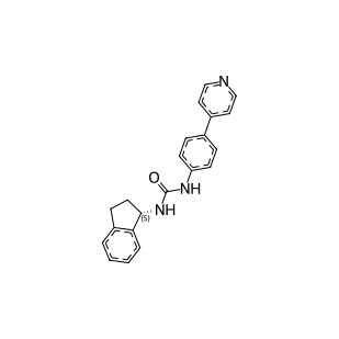 O=C(Nc1ccc(-c2ccncc2)cc1)N[C@H]1CCc2ccccc21